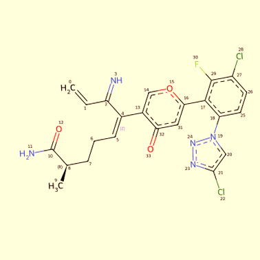 C=CC(=N)/C(=C\CC[C@@H](C)C(N)=O)c1coc(-c2c(-n3cc(Cl)nn3)ccc(Cl)c2F)cc1=O